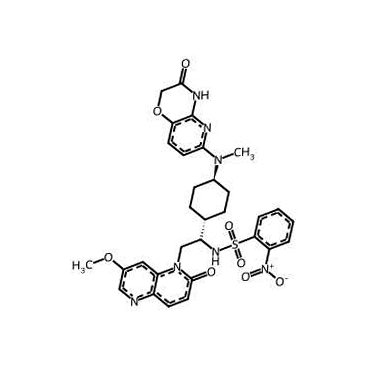 COc1cnc2ccc(=O)n(CC(NS(=O)(=O)c3ccccc3[N+](=O)[O-])[C@H]3CC[C@H](N(C)c4ccc5c(n4)NC(=O)CO5)CC3)c2c1